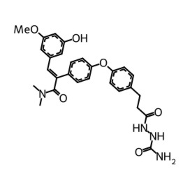 COc1cc(O)cc(/C=C(/C(=O)N(C)C)c2ccc(Oc3ccc(CCC(=O)NNC(N)=O)cc3)cc2)c1